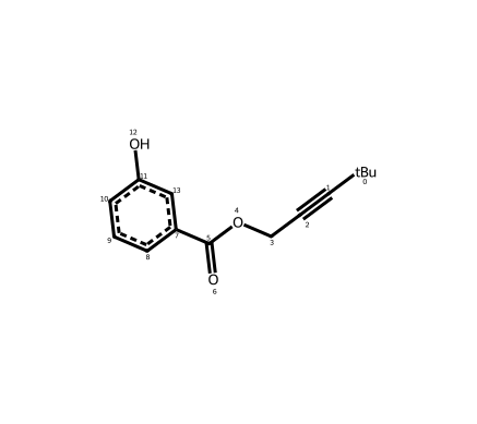 CC(C)(C)C#CCOC(=O)c1cccc(O)c1